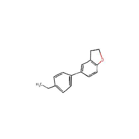 CCc1ccc(-c2ccc3c(c2)CCO3)cc1